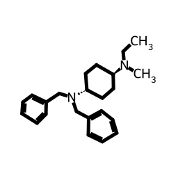 CCN(C)[C@H]1CC[C@H](N(Cc2ccccc2)Cc2ccccc2)CC1